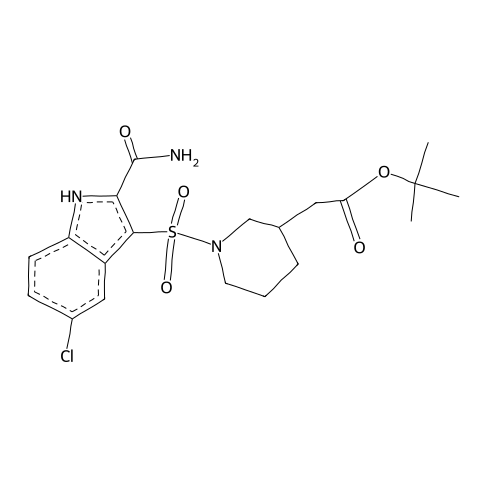 CC(C)(C)OC(=O)CC1CCCN(S(=O)(=O)c2c(C(N)=O)[nH]c3ccc(Cl)cc23)C1